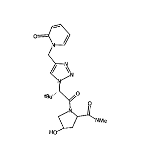 CNC(=O)C1CC(O)CN1C(=O)[C@@H](n1cc(Cn2ccccc2=O)nn1)C(C)(C)C